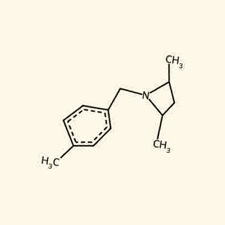 Cc1ccc(CN2C(C)CC2C)cc1